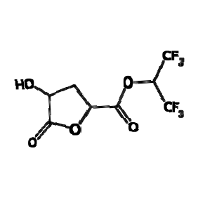 O=C1OC(C(=O)OC(C(F)(F)F)C(F)(F)F)CC1O